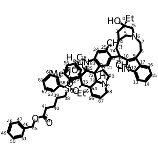 CC[C@]1(O)CC2CN(CCc3c([nH]c4ccccc34)[C@@](C)(c3cc4c(cc3C)N(C)[C@H]3[C@@](O)(C(=O)OC)[C@H](O[Si](CCCCC(=O)OCc5ccccc5)(c5ccccc5)c5ccccc5)[C@]5(CC)C=CCN6CC[C@]43[C@@H]65)C2)C1